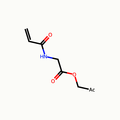 C=CC(=O)NCC(=O)OCC(C)=O